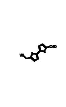 O=Cc1ccc(-c2ccc(CS)s2)s1